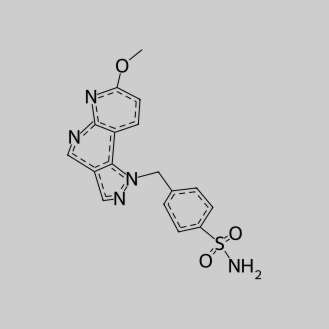 COc1ccc2c(ncc3cnn(Cc4ccc(S(N)(=O)=O)cc4)c32)n1